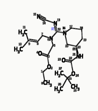 CCOC(=O)CN(CC=C(C)C)/C(=N\C#N)N1CCC[C@@H](NC(=O)OC(C)(C)C)C1